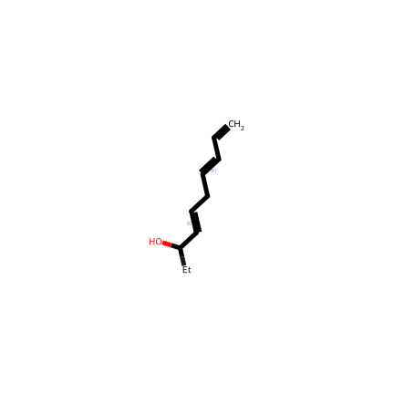 C=C/C=C/C/C=C/C(O)CC